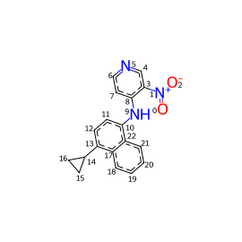 O=[N+]([O-])c1cnccc1Nc1ccc(C2CC2)c2ccccc12